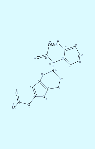 CCC(=O)Oc1cc2c(s1)CCN([C@H](C(=O)OC)c1ccccc1Cl)C2